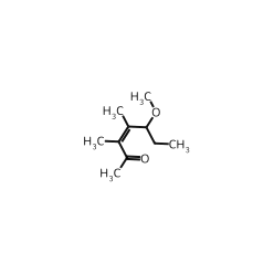 CCC(OC)C(C)=C(C)C(C)=O